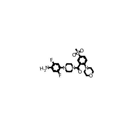 CS(=O)(=O)c1ccc(N2CCOCC2)c(C(=O)N2CCN(c3cc(F)c(N)cc3F)CC2)c1